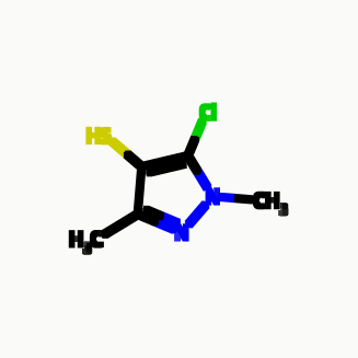 Cc1nn(C)c(Cl)c1S